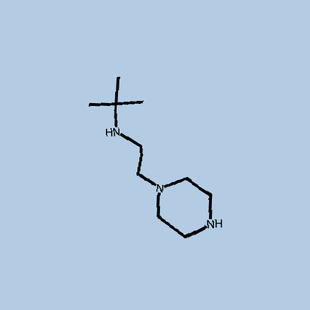 CC(C)(C)NCCN1CCNCC1